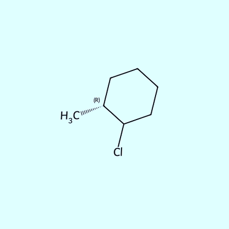 C[C@@H]1CCCCC1Cl